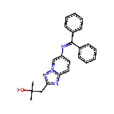 CC(C)(O)Cc1nc2ccc(N=C(c3ccccc3)c3ccccc3)cn2n1